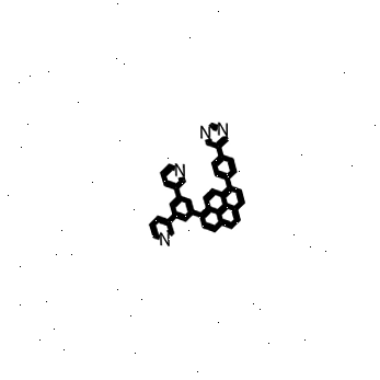 c1cncc(-c2cc(-c3cccnc3)cc(-c3ccc4ccc5ccc(-c6ccc(-c7cncnc7)cc6)c6ccc3c4c56)c2)c1